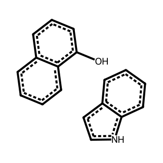 Oc1cccc2ccccc12.c1ccc2[nH]ccc2c1